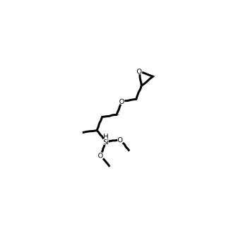 CO[SiH](OC)C(C)C[CH]OCC1CO1